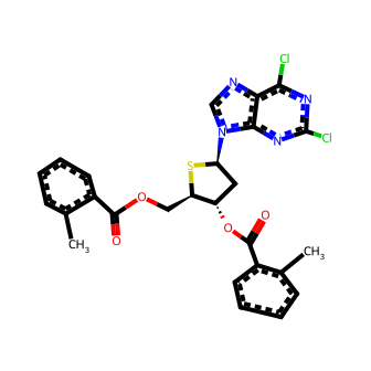 Cc1ccccc1C(=O)OC[C@H]1S[C@@H](n2cnc3c(Cl)nc(Cl)nc32)C[C@@H]1OC(=O)c1ccccc1C